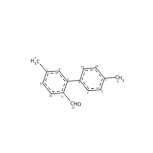 Cc1ccc(-c2cc(C)ccc2C=O)cc1